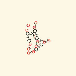 CCCCC(C)(Cc1cc(C(C)(C)c2ccc(OCC3CO3)cc2C(C)(CCCC)Cc2cc(OCC3CO3)ccc2C(C)(C)c2ccc(OCC3CO3)cc2)ccc1OCC1CO1)c1cc(C(C)(C)c2ccc(OCC3CO3)cc2)ccc1OCC1CO1